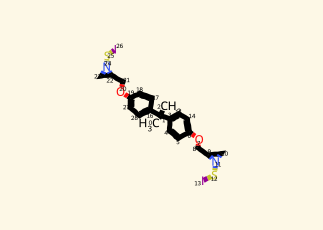 CC(C)(c1ccc(OCC2CN2SI)cc1)c1ccc(OCC2CN2SI)cc1